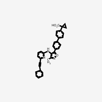 Cc1noc(-c2ccc(-c3ccc(C4(C(=O)O)CC4)cc3)cc2)c1Nc1cccc(C#Cc2ccccc2)n1